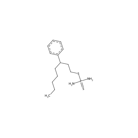 CCCCCC(CCSP(N)(N)=S)c1ccccc1